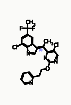 C/C(=C1/C=Nc2c(Cl)cc(C(C)(F)F)cc21)c1nc(OCCc2ccccn2)ncc1Cl